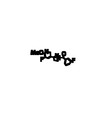 COc1ncc(C2=NN(C(=O)c3cccc(F)c3)CC2)cc1F